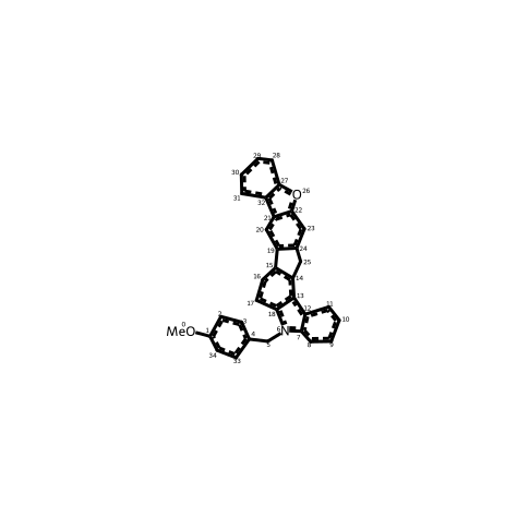 COc1ccc(Cn2c3ccccc3c3c4c(ccc32)-c2cc3c(cc2C4)oc2ccccc23)cc1